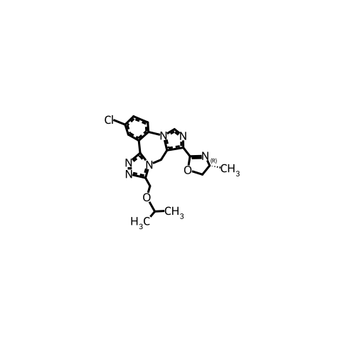 CC(C)OCc1nnc2n1Cc1c(C3=N[C@H](C)CO3)ncn1-c1ccc(Cl)cc1-2